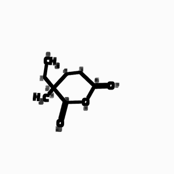 CCC1(C)CCC(=O)OC1=O